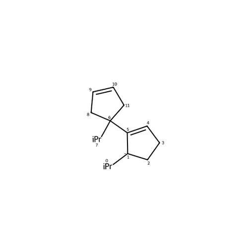 CC(C)[C]1CCC=C1C1(C(C)C)CC=CC1